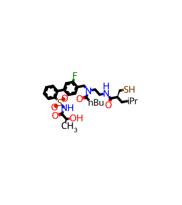 CCCCC(=O)N(CCNC(=O)[C@@H](CS)CC(C)C)Cc1ccc(-c2ccccc2S(=O)(=O)NC(=O)[C@H](C)O)cc1F